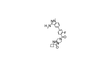 Cn1nc(N)c2cc(-c3ccc(C(=O)N4CCN(C(=O)C5(N)CCC5)CC4)c(F)c3)ccc21